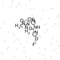 CN1C(=O)CC(C)(c2cc(NC(=O)c3ccc(OCCF)cn3)ccn2)N=C1N